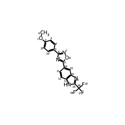 COc1ccc(-c2noc(-c3ccc4[nH]c(C(F)(F)F)nc4c3)n2)cc1